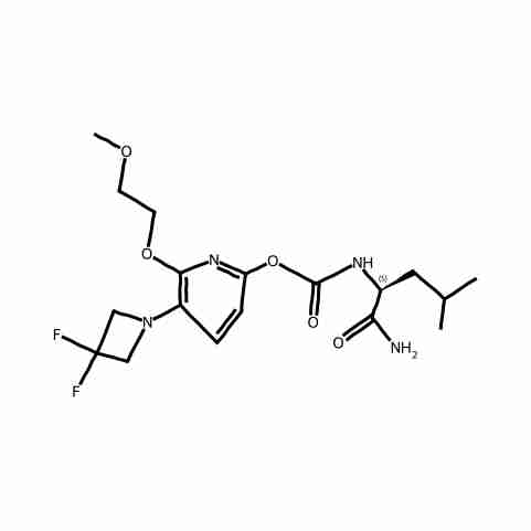 COCCOc1nc(OC(=O)N[C@@H](CC(C)C)C(N)=O)ccc1N1CC(F)(F)C1